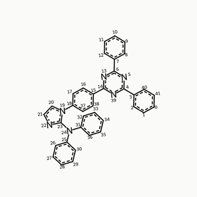 c1ccc(-c2nc(-c3ccccc3)nc(-c3ccc(-n4ccnc4N(c4ccccc4)c4ccccc4)cc3)n2)cc1